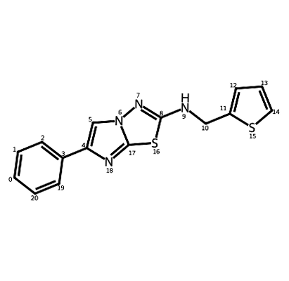 c1ccc(-c2cn3nc(NCc4cccs4)sc3n2)cc1